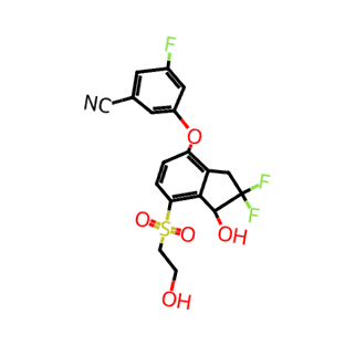 N#Cc1cc(F)cc(Oc2ccc(S(=O)(=O)CCO)c3c2CC(F)(F)C3O)c1